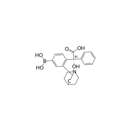 O=C(O)[C@@](O)(c1ccccc1)c1ccc(B(O)O)cc1C1CC2CCN1CC2